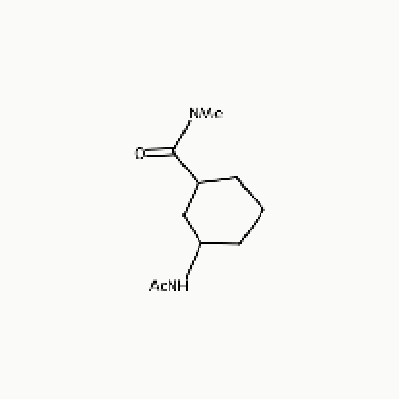 CNC(=O)C1CCCC(NC(C)=O)C1